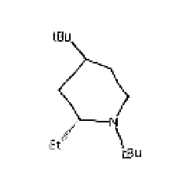 CC[C@@H]1CC(C(C)(C)C)CCN1C(C)(C)C